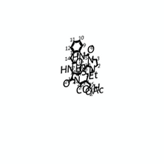 CCN1CCN(C(=O)Nc2ccccc2CC(=O)NC2C(=O)N3C(C(=O)O)=C(COC(C)=O)CS[C@H]23)C1=O